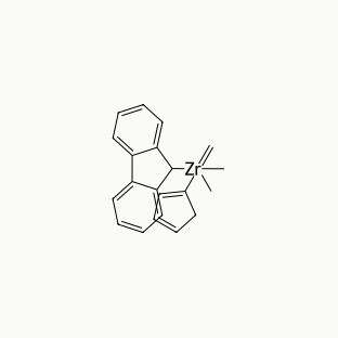 [CH2]=[Zr]([CH3])([CH3])([C]1=CC=CC1)[CH]1c2ccccc2-c2ccccc21